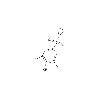 Cc1c(F)cc(S(=O)(=O)C2CC2)cc1F